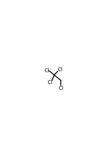 Cl[CH]C(Cl)(Cl)Cl